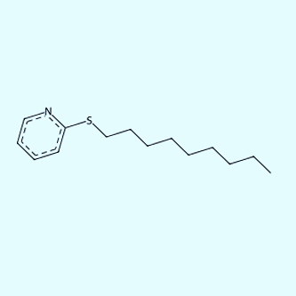 CCCCCCCCCSc1ccccn1